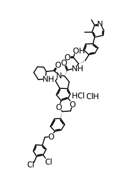 Cc1nccc(-c2ccc(C[C@H](NC(=O)[C@@H]3Cc4cc5c(cc4CN3C(=O)C3CCCCN3)O[C@@H](c3ccc(OCc4ccc(Cl)c(Cl)c4)cc3)CO5)C(=O)O)cc2)c1C.Cl.Cl